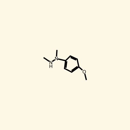 CNN(C)c1ccc(OC)cc1